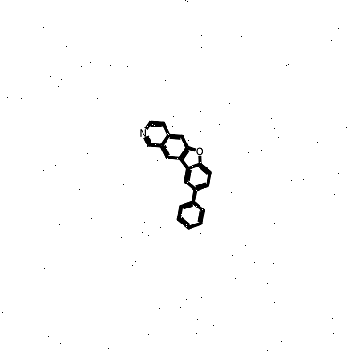 c1ccc(-c2ccc3oc4cc5ccncc5cc4c3c2)cc1